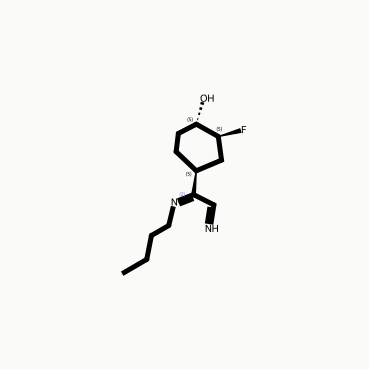 CCCC/N=C(\C=N)[C@H]1CC[C@H](O)[C@@H](F)C1